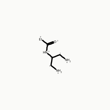 CCC(=O)NC(CN)CN